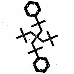 CC(C)([CH2][Sn]([CH2]C(C)(C)c1ccccc1)([CH2][Si](C)(C)C)[CH2][Si](C)(C)C)c1ccccc1